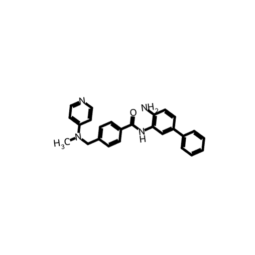 CN(Cc1ccc(C(=O)Nc2cc(-c3ccccc3)ccc2N)cc1)c1ccncc1